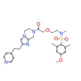 COc1cc(C)c(S(=O)(=O)N(C)CCOCC(=O)N2CCn3cc(CCc4ccncc4)nc3C2)c(C)c1